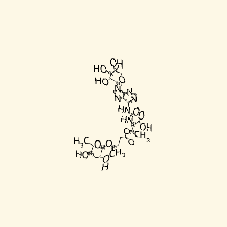 CC1O[C@@H](O[C@H](C)CCC(=O)O[C@H](C)[C@H](NC(=O)Nc2ncnc3c2ncn3[C@@H]2OC[C@@H](O)[C@H](O)C2O)C(=O)O)C(O)C[C@H]1O